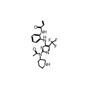 C=CC(=O)Nc1ccccc1Nc1nc(N(C(C)=O)C2CCCNC2)ncc1C(F)(F)F